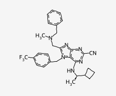 C[C@@H](Nc1nc(C#N)nc2nc(CN(C)Cc3ccccc3)n(Cc3ccc(C(F)(F)F)cc3)c12)C1CCC1